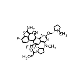 C=CC(=O)N1CC[C@@H](N(C)c2nc(OC[C@@H]3CCCN3C)nc3c(F)c(-c4ccc(F)c5sc(N)c(C#N)c45)c(C(F)(F)F)cc23)[C@@H]1C